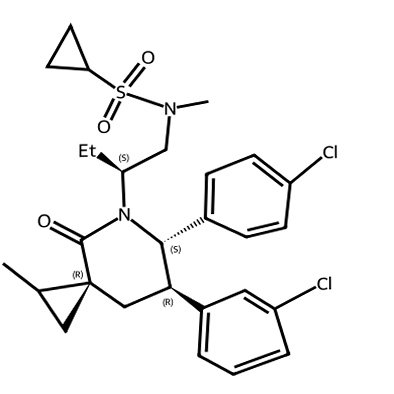 CC[C@@H](CN(C)S(=O)(=O)C1CC1)N1C(=O)[C@]2(CC2C)C[C@H](c2cccc(Cl)c2)[C@H]1c1ccc(Cl)cc1